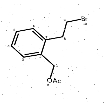 CC(=O)OCc1ccccc1CCBr